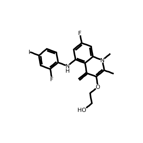 C=C1C(OCCO)=C(C)N(C)c2cc(F)cc(Nc3ccc(I)cc3F)c21